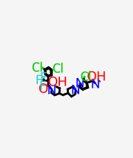 CN(C)C(O)c1ccc(N2CCC(CC3CCN(C(=O)[C@](O)(c4cc(Cl)cc(Cl)c4)C(F)(F)F)CC3)CC2)nc1Cl